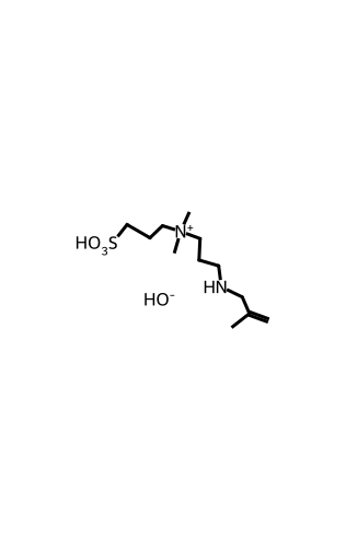 C=C(C)CNCCC[N+](C)(C)CCCS(=O)(=O)O.[OH-]